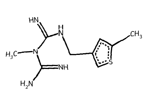 Cc1cc(CNC(=N)N(C)C(=N)N)cs1